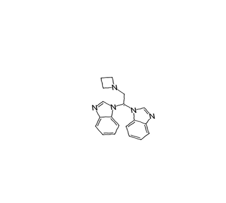 c1ccc2c(c1)ncn2[C](CN1CCC1)n1cnc2ccccc21